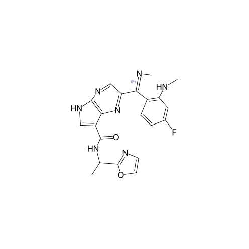 C/N=C(/c1cnc2[nH]cc(C(=O)NC(C)c3ncco3)c2n1)c1ccc(F)cc1NC